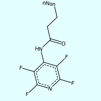 CCCCCCCCCCCC(=O)Nc1c(F)c(F)nc(F)c1F